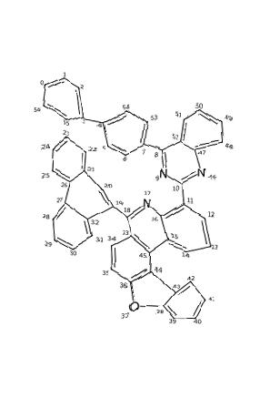 c1ccc(-c2ccc(-c3nc(-c4cccc5c4nc(-c4cc6ccccc6c6ccccc46)c4ccc6oc7ccccc7c6c45)nc4ccccc34)cc2)cc1